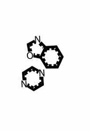 c1ccc2ocnc2c1.c1cnccn1